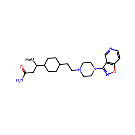 COC(CC(N)=O)C1CCC(CCN2CCN(c3noc4ccncc34)CC2)CC1